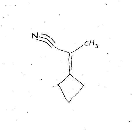 CC(C#N)=C1CCC1